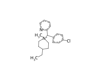 CCC1CC[N+](C)(C(c2ccc(Cl)cc2)c2ccccn2)CC1